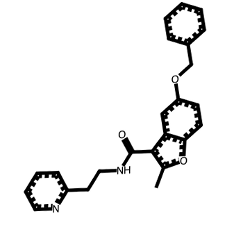 Cc1oc2ccc(OCc3ccccc3)cc2c1C(=O)NCCc1ccccn1